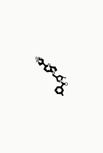 Cc1cccc(C(=O)N2CC(Cn3ccc4nc(-c5cn[nH]c5)ccc43)C[C@H]2C)c1